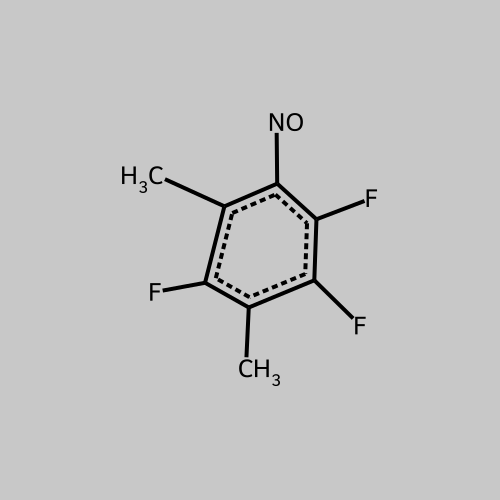 Cc1c(F)c(C)c(N=O)c(F)c1F